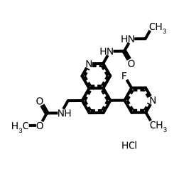 CCNC(=O)Nc1cc2c(-c3cc(C)ncc3F)ccc(CNC(=O)OC)c2cn1.Cl